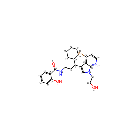 O=C(NCCC(c1cn(CCO)c2nccc(Br)c12)C1CCCCC1)c1ccccc1O